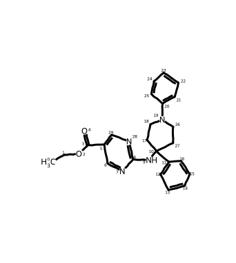 CCOC(=O)c1cnc(NC2(c3ccccc3)CCN(c3ccccc3)CC2)nc1